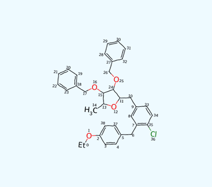 CCOc1ccc(Cc2cc(CC3OC(C)C(OCc4ccccc4)C3OCc3ccccc3)ccc2Cl)cc1